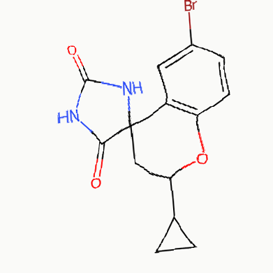 O=C1NC(=O)C2(CC(C3CC3)Oc3ccc(Br)cc32)N1